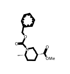 COC(=O)[C@@H]1CC[C@H](C)N(C(=O)OCc2ccccc2)C1